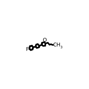 CCCCCC1CCC(c2ccc(-c3ccc(F)cc3)cc2)=CC1=O